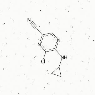 N#Cc1cnc(NC2CC2)c(Cl)n1